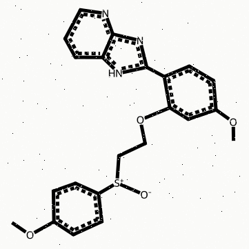 COc1ccc([S+]([O-])CCOc2cc(OC)ccc2-c2nc3ncccc3[nH]2)cc1